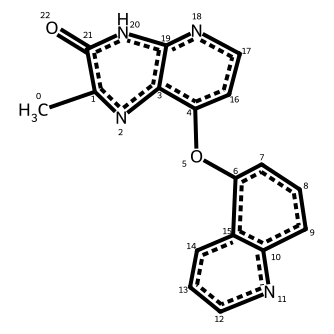 Cc1nc2c(Oc3cccc4ncccc34)ccnc2[nH]c1=O